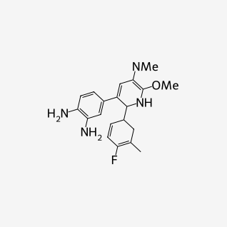 CNC1=C(OC)NC(C2C=CC(F)=C(C)C2)C(c2ccc(N)c(N)c2)=C1